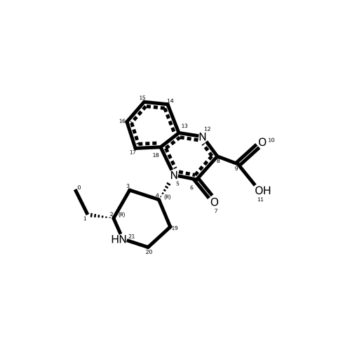 CC[C@@H]1C[C@H](n2c(=O)c(C(=O)O)nc3ccccc32)CCN1